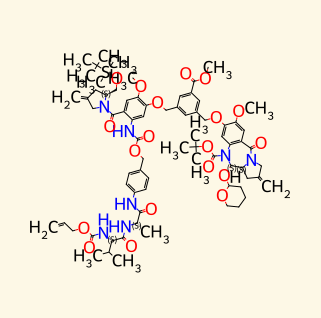 C=CCOC(=O)N[C@H](C(=O)N[C@@H](C)C(=O)Nc1ccc(COC(=O)Nc2cc(OCc3cc(COc4cc5c(cc4OC)C(=O)N4CC(=C)C[C@H]4[C@H](OC4CCCCO4)N5C(=O)OC(C)(C)C)cc(C(=O)OC)c3)c(OC)cc2C(=O)N2CC(=C)C[C@H]2CO[Si](C)(C)C(C)(C)C)cc1)C(C)C